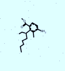 CCCCCC(CC)c1c(C(=O)OC)ccc(N)c1C